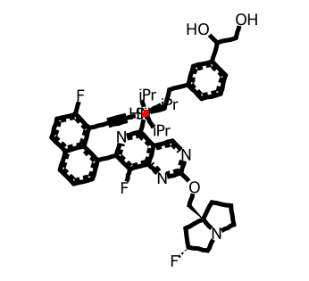 CC(C)[Si](C#Cc1c(F)ccc2cccc(-c3nc(NCCc4cccc(C(O)CO)c4)c4cnc(OC[C@@]56CCCN5C[C@H](F)C6)nc4c3F)c12)(C(C)C)C(C)C